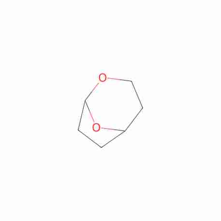 C1CC2CCC(O1)O2